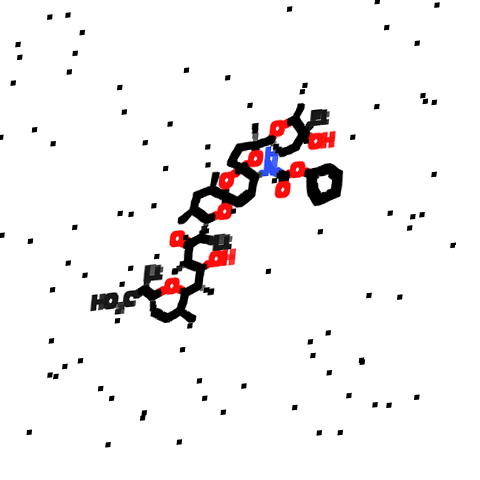 CCC(C(=O)[C@@H](C)[C@@H](O)[C@H](C)[C@@H]1O[C@@H]([C@@H](CC)C(=O)O)CC[C@@H]1C)[C@H]1O[C@]2(C=C[C@@H](NC(=O)Oc3ccccc3)[C@]3(CC[C@@](C)([C@H]4CC[C@](O)(CC)[C@H](C)O4)O3)O2)[C@H](C)C[C@@H]1C